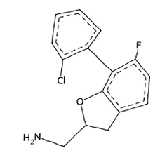 NCC1Cc2ccc(F)c(-c3ccccc3Cl)c2O1